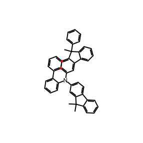 CC1(C)c2ccccc2-c2ccc(N(c3ccc4c(c3)-c3ccccc3C4(C)c3ccccc3)c3ccccc3-c3ccccc3)cc21